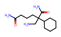 NCC(CCCC(N)=O)(C(N)=O)C1CCCCC1